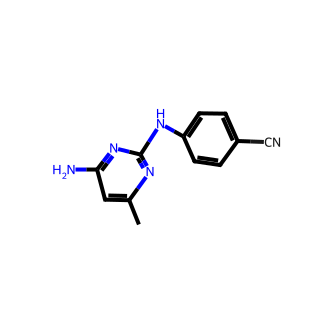 Cc1cc(N)nc(Nc2ccc(C#N)cc2)n1